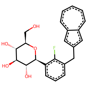 OC[C@H]1O[C@@H](c2cccc(Cc3cc4cccccc-4c3)c2F)[C@H](O)[C@@H](O)[C@@H]1O